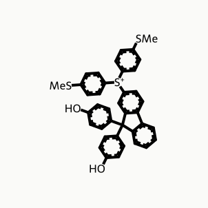 CSc1ccc([S+](c2ccc(SC)cc2)c2ccc3c(c2)C(c2ccc(O)cc2)(c2ccc(O)cc2)c2ccccc2-3)cc1